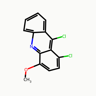 COc1ccc(Cl)c2c(Cl)c3ccccc3nc12